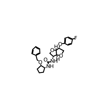 O=C(N[C@H]1CO[C@H]2[C@@H]1OC[C@@H]2Oc1ccc(F)cc1)N[C@@H]1CCC[C@H]1OCc1ccccc1